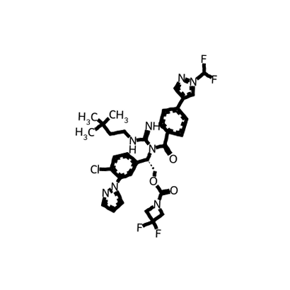 CC(C)(C)CCNC(=N)N(C(=O)c1ccc(-c2cnn(C(F)F)c2)cc1)[C@H](COC(=O)N1CC(F)(F)C1)c1ccc(Cl)c(-n2cccn2)c1